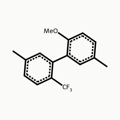 COc1ccc(C)cc1-c1cc(C)ccc1C(F)(F)F